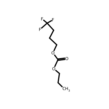 CCCOC(=O)OCCCC(F)(F)F